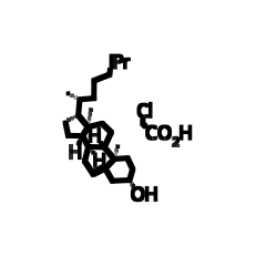 CC(C)CCC[C@@H](C)[C@H]1CC[C@H]2[C@@H]3CC=C4C[C@@H](O)CC[C@]4(C)[C@H]3CC[C@]12C.O=C(O)CCl